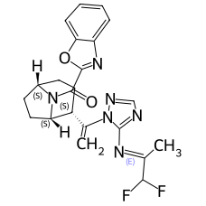 C=C([C@H]1CC[C@H]2CC[C@@H]1N2C(=O)c1nc2ccccc2o1)n1ncnc1/N=C(\C)C(F)F